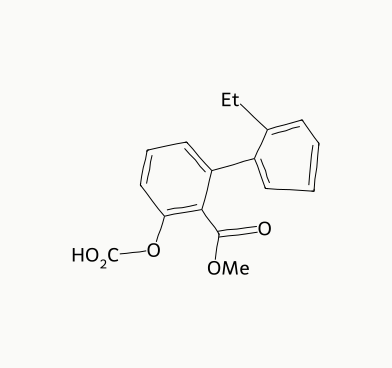 CCc1ccccc1-c1cccc(OC(=O)O)c1C(=O)OC